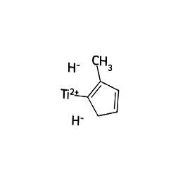 CC1=[C]([Ti+2])CC=C1.[H-].[H-]